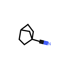 N#CC12CCC(CC1)C2